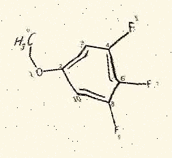 COc1[c]c(F)c(F)c(F)c1